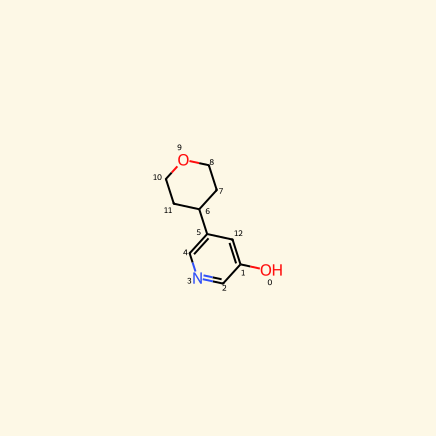 Oc1cncc(C2CCOCC2)c1